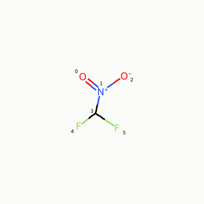 O=[N+]([O-])C(F)F